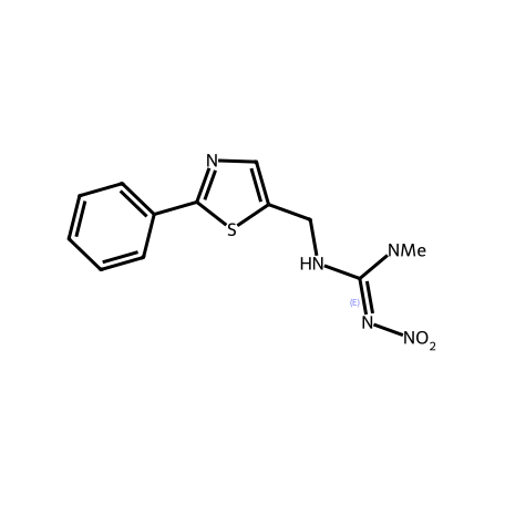 CN/C(=N\[N+](=O)[O-])NCc1cnc(-c2ccccc2)s1